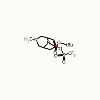 CN1CC2C=C(OS(=O)(=O)C(F)(F)F)CC(C1)N2C(=O)OC(C)(C)C